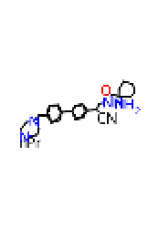 CCCN1CCN(Cc2ccc(-c3ccc(C(C#N)CNC(=O)C4(N)CCCCC4)cc3)cc2)CC1